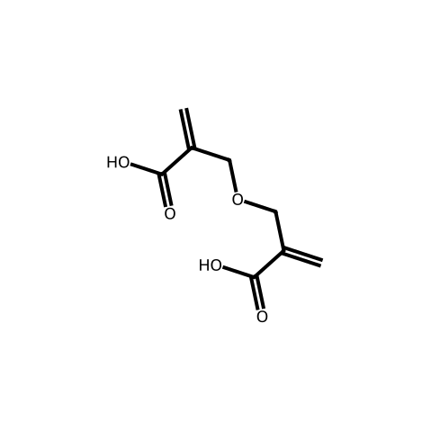 C=C(COCC(=C)C(=O)O)C(=O)O